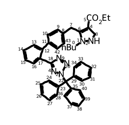 CCCCN1NCC(C(=O)OCC)=C1Cc1ccc(-c2ccccc2-c2nnn(C(c3ccccc3)(c3ccccc3)c3ccccc3)n2)cc1